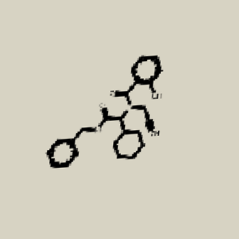 C#CCN(C(=O)c1ccccc1O)C(C(=O)NCc1ccccc1)C1CCCCC1